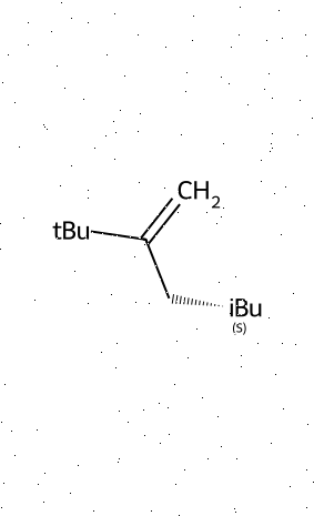 C=C(C[C@@H](C)CC)C(C)(C)C